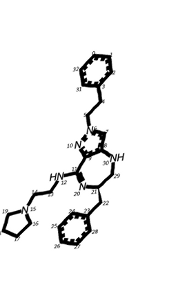 c1ccc(CCn2cc3c(n2)C(NCCN2CCCC2)=N[C@H](Cc2ccccc2)CN3)cc1